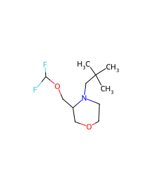 CC(C)(C)CN1CCOCC1COC(F)F